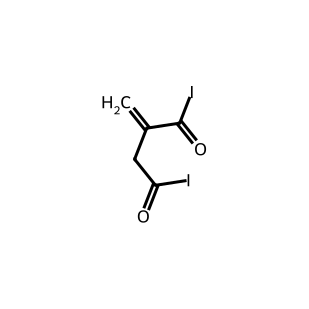 C=C(CC(=O)I)C(=O)I